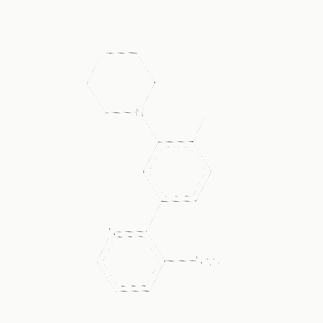 CNc1cccnc1-c1ccc(C)c(N2CCOCC2)c1